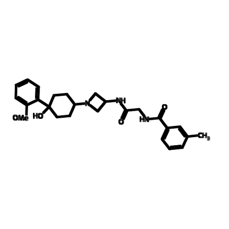 COc1ccccc1C1(O)CCC(N2CC(NC(=O)CNC(=O)c3cccc(C)c3)C2)CC1